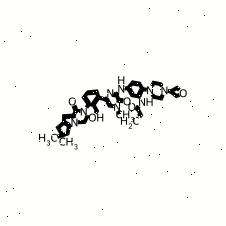 C=CC(=O)Nc1cc(Nc2nc(-c3cccc(N4CCn5c(cc6c5CC(C)(C)C6)C4=O)c3CO)cn(C)c2=O)ccc1N1CCN(C2COC2)CC1